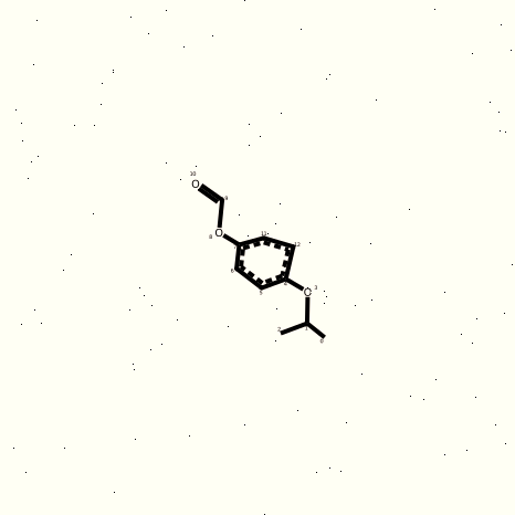 CC(C)Oc1ccc(O[C]=O)cc1